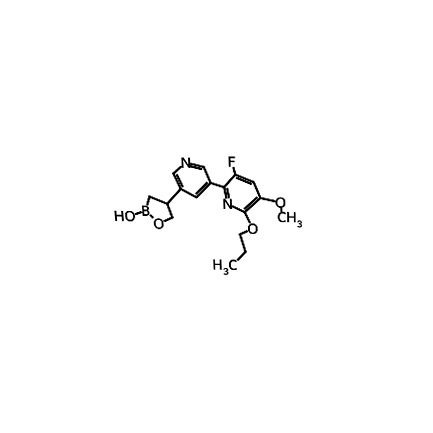 CCCOc1nc(-c2cncc(C3COB(O)C3)c2)c(F)cc1OC